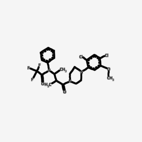 COc1cc(N2CCN(C(=O)C(C)C(C)N(C(=O)C(F)(F)F)c3ccccc3)CC2)c(Cl)cc1Cl